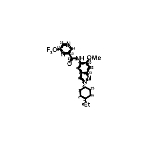 CC[C@H]1CC[C@H](n2cc3cc(NC(=O)c4cncc(C(F)(F)F)n4)c(OC)cc3n2)CC1